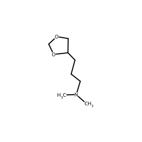 CN(C)CCCC1COCO1